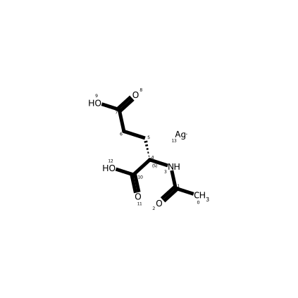 CC(=O)N[C@@H](CCC(=O)O)C(=O)O.[Ag]